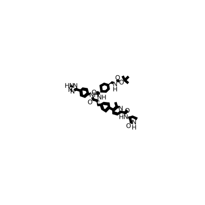 Cc1nc(C(=O)N[C@@H]2CCNC2=O)ccc1-c1ccc(C[C@H](NC(=O)[C@H]2CC[C@H](CNC(=O)OC(C)(C)C)CC2)C(=O)Nc2ccc(-c3nn[nH]n3)cc2)cc1